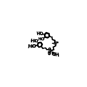 C[N+](C)(CCCc1ccc(O)c(O)c1)CCCP(=O)(O)OCCCc1ccc(O)c(O)c1